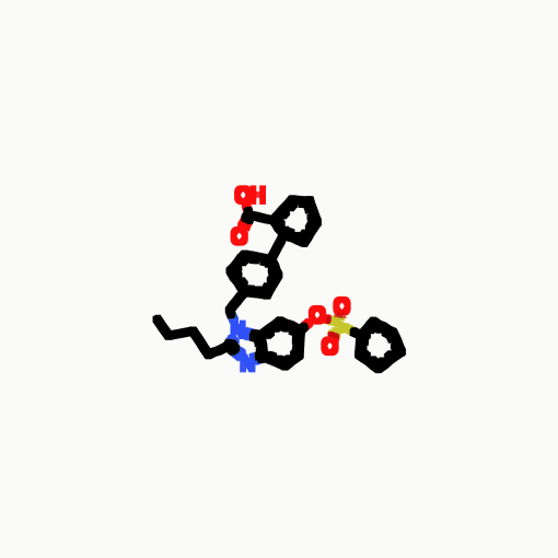 CCCCc1nc2ccc(OS(=O)(=O)c3ccccc3)cc2n1Cc1ccc(-c2ccccc2C(=O)O)cc1